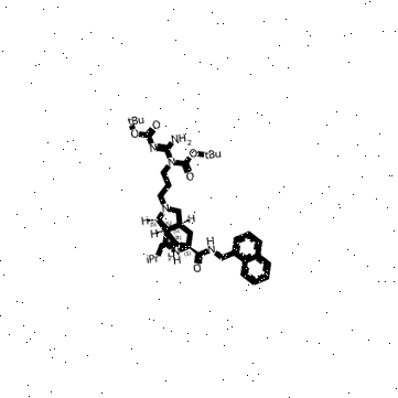 CC(C)C[C@@H]1[C@@H]2[C@@H]3CN[C@@]1(C(=O)NCc1cccc4ccccc14)C[C@@H]3CN2CCCN(C(=O)OC(C)(C)C)C(N)=NC(=O)OC(C)(C)C